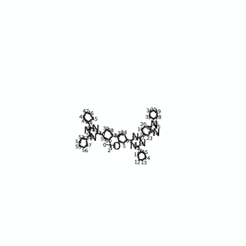 CC1(C)Oc2cc(-c3nc(-c4ccccc4)nc(-c4ccc5c(c4)ncn5-c4ccccc4)n3)ccc2-c2ccc(-c3nc(-c4ccccc4)nc(-c4ccccc4)n3)cc21